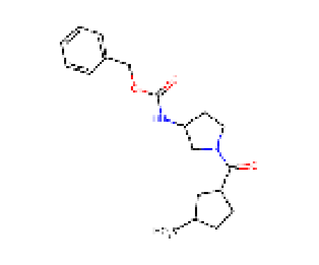 O=C(NC1CCN(C(=O)C2CCC(S(=O)(=O)O)C2)C1)OCc1ccccc1